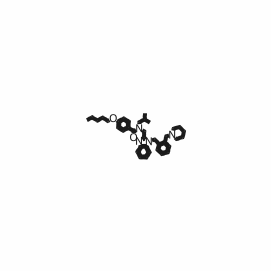 CCCCCOc1ccc(C(=O)N(Cc2nc3ccccc3n2Cc2ccccc2CN2CCCCC2)CC(C)C)cc1